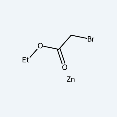 CCOC(=O)CBr.[Zn]